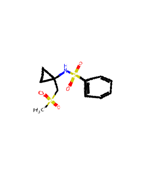 CS(=O)(=O)CC1(NS(=O)(=O)c2ccccc2)CC1